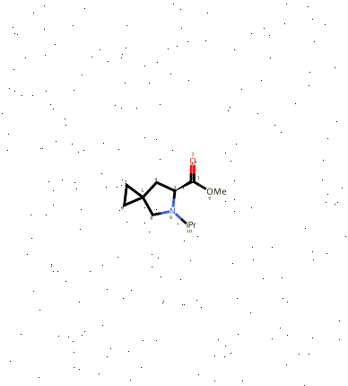 COC(=O)[C@@H]1CC2(CC2)CN1C(C)C